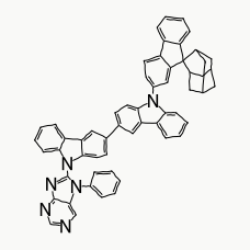 c1ccc(-n2c(-n3c4ccccc4c4cc(-c5ccc6c(c5)c5ccccc5n6-c5ccc6c(c5)C5(c7ccccc7-6)C6CC7CC(C6)CC5C7)ccc43)nc3ncncc32)cc1